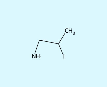 CC(I)C[NH]